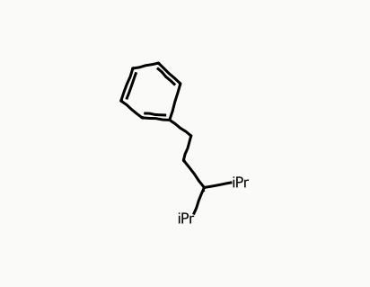 CC(C)[C](CCc1ccccc1)C(C)C